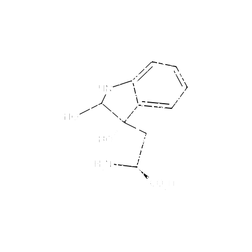 N[C@@H](C[C@]1(O)c2ccccc2NC1O)C(=O)O